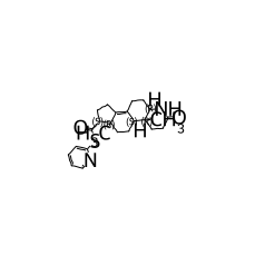 C[C@]12CCC(=O)N[C@@H]1CCC1=C3CC[C@H](C(=O)Sc4ccccn4)[C@@]3(C)CC[C@@H]12